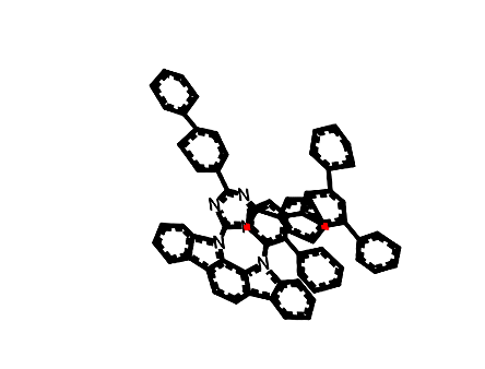 c1ccc(-c2ccc(-c3nc(-c4ccccc4)nc(-n4c5ccccc5c5ccc6c7ccccc7n(-c7cccc(-c8cc(-c9ccccc9)cc(-c9ccccc9)c8)c7-c7ccccc7)c6c54)n3)cc2)cc1